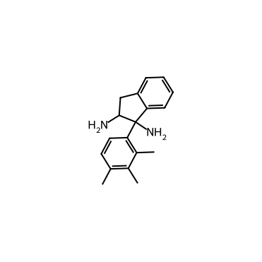 Cc1ccc(C2(N)c3ccccc3CC2N)c(C)c1C